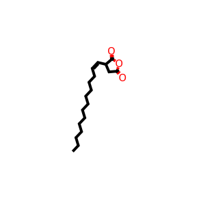 CCCCCCCCCCCC/C=C\C1CC(=O)OC1=O